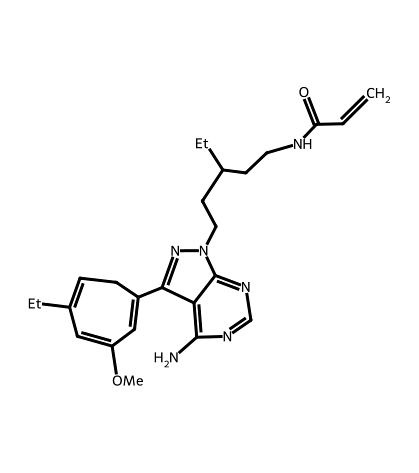 C=CC(=O)NCCC(CC)CCn1nc(C2=CC(OC)=CC(CC)=CC2)c2c(N)ncnc21